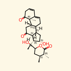 C[C@H]1CC([C@](C)(O)[C@@H]2[C@H]3C(=O)C[C@H]4[C@@H](CC=C5C=CCC(=O)[C@@]54C)[C@@H]3C[C@@H]2O)OC(=O)[C@@H]1C